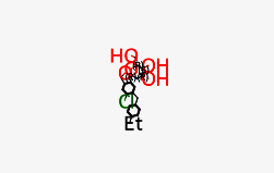 CCc1ccc(Cc2cc3c(cc2Cl)CO[C@@]32C[C@@H](O)[C@H](O)[C@@H](CO)O2)cc1